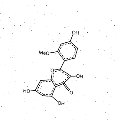 COc1cc(O)ccc1-c1oc2cc(O)cc(O)c2c(=O)c1O